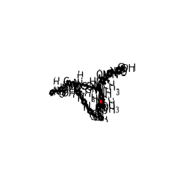 COc1cc(N=Nc2ccc(N=Nc3ccccc3)cc2S(=O)(=O)O)c(C)cc1Cc1nc(Cc2ccc(N=Nc3ccc(N=Nc4ccc(S(=O)(=O)O)cc4)cc3)c(C)c2)nc(NCCOCCOCCNc2nc(Nc3ccc(N=Nc4ccc(N=Nc5ccccc5)cc4S(=O)(=O)O)c(C)c3)nc(Nc3cc(C)c(N=Nc4ccc(N=Nc5ccc(S(=O)(=O)O)cc5)cc4)cc3CO)n2)n1